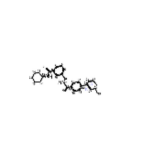 C=C(NCc1cccc(C(=C)NC2CCCCC2)c1)c1ccc(C(/C=C\C)=C/CC)cc1